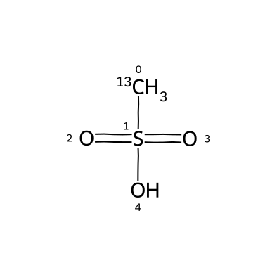 [13CH3]S(=O)(=O)O